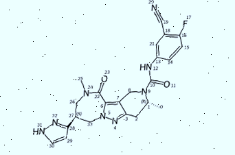 C[C@@H]1Cc2nn3c(c2CN1C(=O)Nc1ccc(F)c(C#N)c1)C(=O)N(C)C[C@H](c1cc[nH]n1)C3